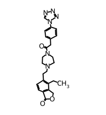 CCc1c(CCN2CCN(C(=O)Cc3ccc(-n4cnnn4)cc3)CC2)ccc2c1COC2=O